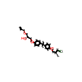 C=CCOC[C@@H](O)COc1ccc(C(C)(C)c2ccc(OC[C@H](C)CCl)cc2)cc1